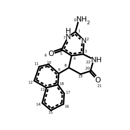 Nc1nc2c(c(=O)[nH]1)C(c1cccc3ccccc13)CC(=O)N2